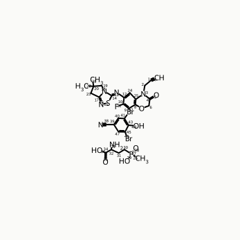 C#CCN1C(=O)COc2cc(F)c(/N=c3\snc4n3CC(C)(C)C4)cc21.CP(=O)(O)CCC(N)C(=O)O.N#Cc1cc(Br)c(O)c(Br)c1